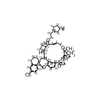 CC1(C)OC/C=C/[C@H](OCCN2CC[C@@H](F)C2)[C@@H]2CC[C@H]2CN2C[C@@]3(CCCc4cc(Cl)ccc43)COc3ccc(cc32)S(=O)(=O)NC1=O